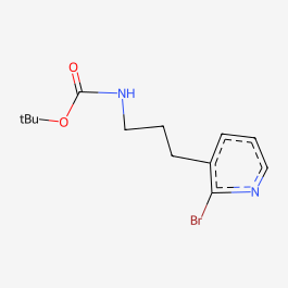 CC(C)(C)OC(=O)NCCCc1cccnc1Br